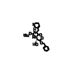 CC(C)(C)OC(=O)N[C@@H](Cc1cccnc1)C(=O)N[C@@H](CO)C(=O)OCc1ccccc1